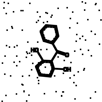 O=C(c1ccccc1)c1c(O)cccc1O